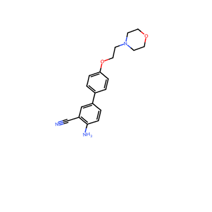 N#Cc1cc(-c2ccc(OCCN3CCOCC3)cc2)ccc1N